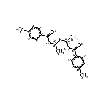 Cc1ccc(C(=O)O[C@H](C)C[C@H](C)OC(=O)c2ccc(C)cc2)cc1